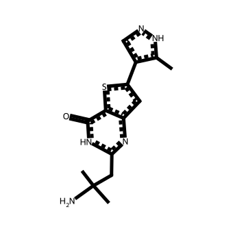 Cc1[nH]ncc1-c1cc2nc(CC(C)(C)N)[nH]c(=O)c2s1